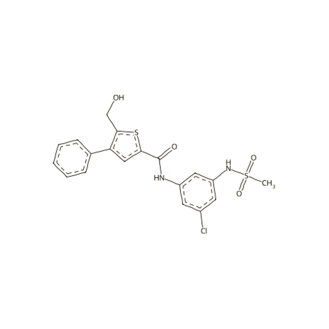 CS(=O)(=O)Nc1cc(Cl)cc(NC(=O)c2cc(-c3ccccc3)c(CO)s2)c1